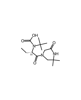 CC[C@@H](C(=O)N1CC(=O)NC(C)(C)C1)N(C(=O)O)C(C)(C)C